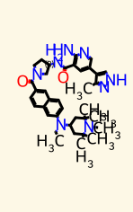 CCN(c1ccc2cc(C(=O)N3CC[C@@H](NC(=O)c4cc(-c5c[nH]nc5C)cnc4N)C3)ccc2c1)C1CC(C)(C)N(C)C(C)(C)C1